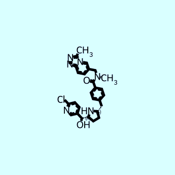 Cc1nnc2ccc(CN(C)C(=O)c3ccc(C[C@@H]4CC[C@H](C(O)c5ccc(Cl)nc5)N4)cc3)cn12